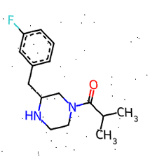 CC(C)C(=O)N1CCNC(Cc2cccc(F)c2)C1